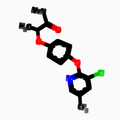 CNC(=O)C(C)Oc1ccc(Oc2ncc(C(F)(F)F)cc2Cl)cc1